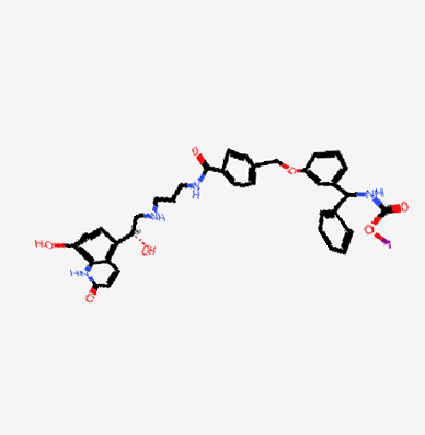 O=C(NC(c1ccccc1)c1cccc(OCc2ccc(C(=O)NCCCNC[C@H](O)c3ccc(O)c4[nH]c(=O)ccc34)cc2)c1)OI